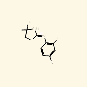 Cc1cc([N+](=O)[O-])ccc1/N=C1/NC(C)(C)CS1